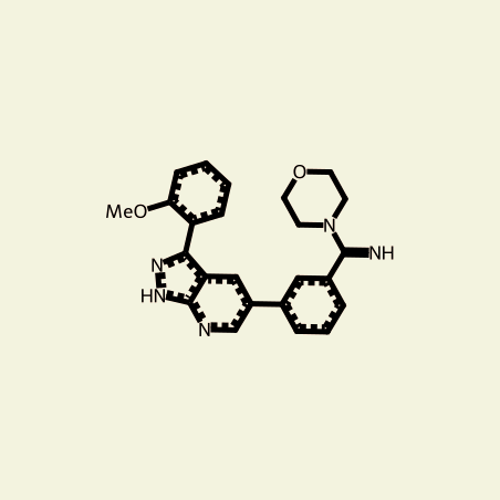 COc1ccccc1-c1n[nH]c2ncc(-c3cccc(C(=N)N4CCOCC4)c3)cc12